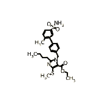 CCCCc1nc(SC)c(C(=O)OCC)n1Cc1ccc(-c2cc(S(N)(=O)=O)ccc2C)cc1